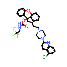 O=C(NCC(F)(F)F)OC1(CCCCN2CCN(c3ccc4c(Cl)cccc4n3)CC2)c2ccccc2Oc2ccccc21